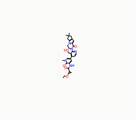 CCOC1CC1C(=O)Nc1cc(-c2ccnc(N3CCn4c(cc5c4CC(C)(C)C5)C3=O)c2CO)cn(C)c1=O